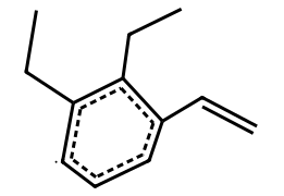 C=Cc1cc[c]c(CC)c1CC